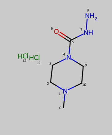 CN1CCN(C(=O)NN)CC1.Cl.Cl